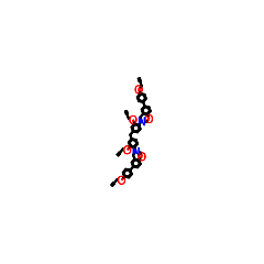 C#CCOc1ccc(-c2ccc3c(c2)CN(c2ccc(Cc4ccc(N5COc6ccc(-c7ccc(OCC#C)cc7)cc6C5)c(OCC#C)c4)cc2OCC#C)CO3)cc1